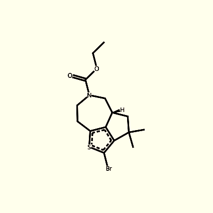 CCOC(=O)N1CCc2sc(Br)c3c2[C@H](C1)CC3(C)C